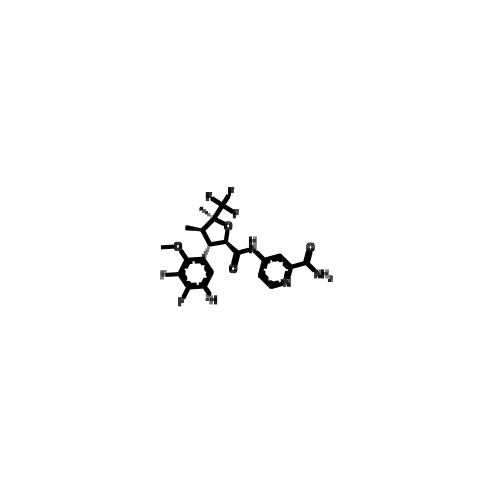 [2H]c1cc([C@@H]2[C@@H](C)[C@@](C)(C(F)(F)F)O[C@H]2C(=O)Nc2ccnc(C(N)=O)c2)c(OC)c(F)c1F